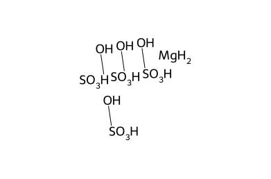 O=S(=O)(O)O.O=S(=O)(O)O.O=S(=O)(O)O.O=S(=O)(O)O.[MgH2]